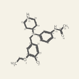 CCOc1cc(CN(c2cccc(NC(C)=O)c2)C2CCNCC2)ccc1Cl